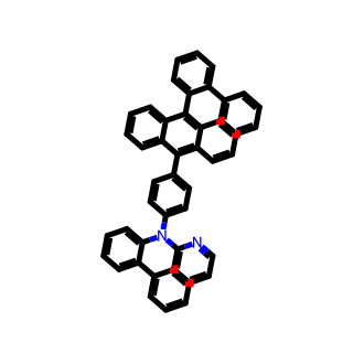 c1ccc(-c2ccccc2-c2c3ccccc3c(-c3ccc(N(c4ccccn4)c4ccccc4-c4ccccc4)cc3)c3ccccc23)cc1